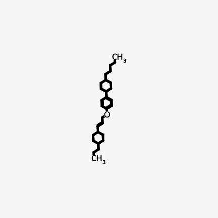 CCCCCC1CCC(c2ccc(OC/C=C/C3CCC(CCC)CC3)cc2)CC1